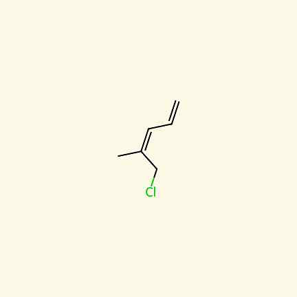 C=CC=C(C)CCl